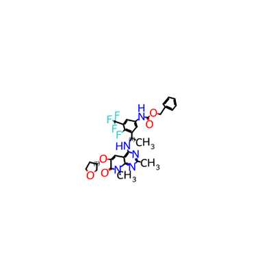 Cc1nc(N[C@H](C)c2cc(NC(=O)OCc3ccccc3)cc(C(F)(F)F)c2F)c2cc(O[C@H]3CCOC3)c(=O)n(C)c2n1